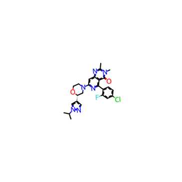 Cc1nc2cc(N3CCO[C@@H](c4cnn(C(C)C)c4)C3)nc(-c3ccc(Cl)cc3F)c2c(=O)n1C